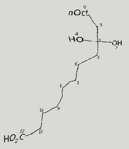 CCCCCCCCCC(O)(O)CCCCCCCC(=O)O